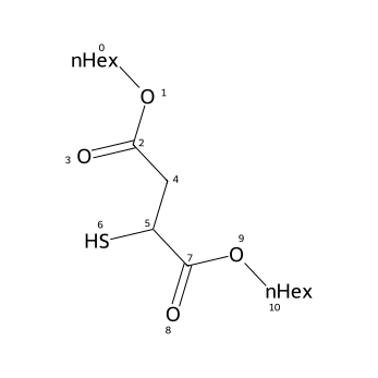 CCCCCCOC(=O)CC(S)C(=O)OCCCCCC